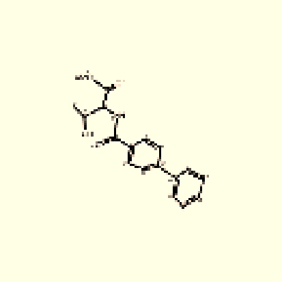 COC(=O)C(NC(=O)c1ccc(-c2ccccc2)cc1)C(C)O